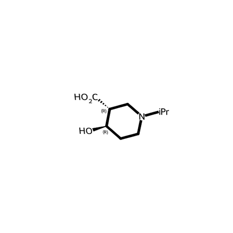 CC(C)N1CC[C@@H](O)[C@H](C(=O)O)C1